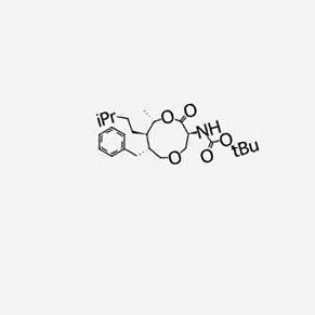 CC(C)CC[C@@H]1[C@@H](Cc2ccccc2)COC[C@H](NC(=O)OC(C)(C)C)C(=O)O[C@H]1C